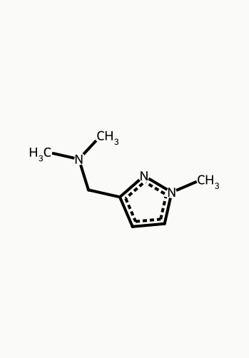 CN(C)Cc1ccn(C)n1